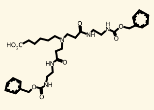 O=C(O)CCCCCN(CCC(=O)NCCNC(=O)OCc1ccccc1)CCC(=O)NCCNC(=O)OCc1ccccc1